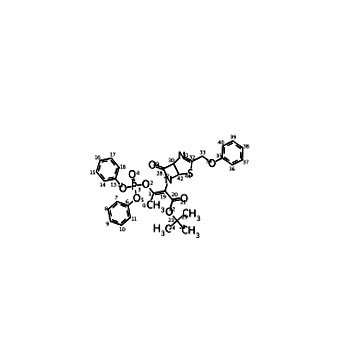 CC(OP(=O)(Oc1ccccc1)Oc1ccccc1)=C(C(=O)OC(C)(C)C)N1C(=O)C2N=C(COc3ccccc3)SC21